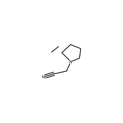 CC.N#CCN1CCCC1